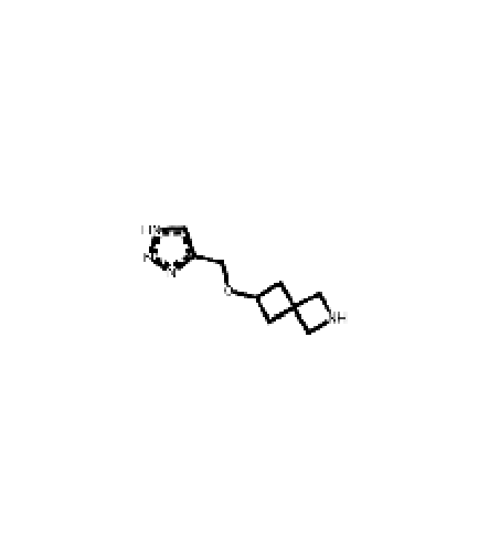 c1[nH]nnc1COC1CC2(CNC2)C1